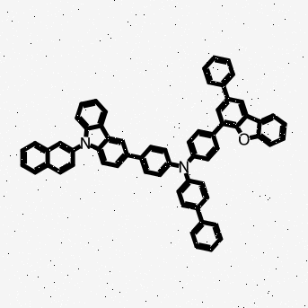 c1ccc(-c2ccc(N(c3ccc(-c4ccc5c(c4)c4ccccc4n5-c4ccc5ccccc5c4)cc3)c3ccc(-c4cc(-c5ccccc5)cc5c4oc4ccccc45)cc3)cc2)cc1